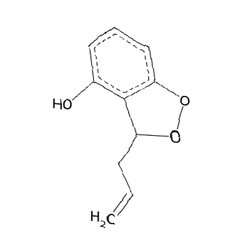 C=CCC1OOc2cccc(O)c21